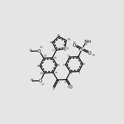 C=C(C(=O)c1ccc(S([NH])(=O)=O)cc1)c1cc(-c2cccs2)c(OC)cc1OC